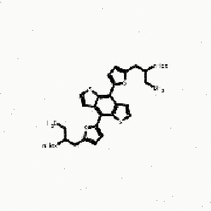 BCC(CCCCCC)Cc1ccc(-c2c3ccsc3c(-c3ccc(CC(CB)CCCCCC)s3)c3ccsc23)s1